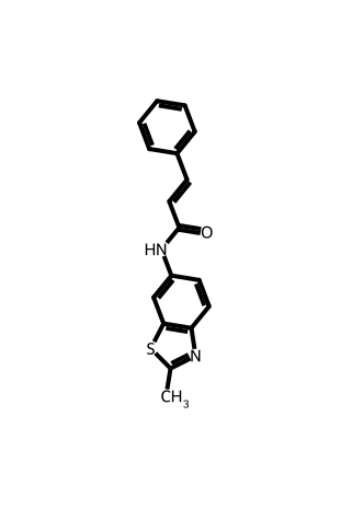 Cc1nc2ccc(NC(=O)C=Cc3ccccc3)cc2s1